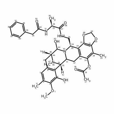 COc1c(C)cc2c(c1O)[C@H]1C3Cc4c(OC(C)=O)c(C)c5c(c4[C@H](CNC(=O)[C@H](C)NC(=O)Cc4ccccc4)N3C(O)[C@@H](C2)N1C)OCO5